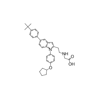 CC(C)(C)c1ccc(-c2ccc3c(c2)cc(CCNCC(=O)O)n3-c2ccc(OC3CCCC3)cc2)cc1